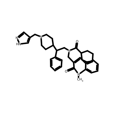 Cn1c(=O)c(CN(CC(c2ccccc2)C2CCN(Cc3cn[nH]c3)CC2)C(=O)C2CCCCC2)cc2ccccc21